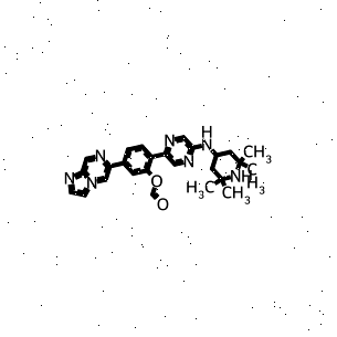 CC1(C)CC(Nc2cnc(-c3ccc(-c4cn5ccnc5cn4)cc3OC=O)cn2)CC(C)(C)N1